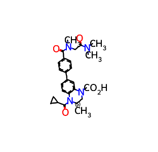 C[C@H]1CN(C(=O)O)c2cc(-c3ccc(C(=O)N(C)CC(=O)N(C)C)cc3)ccc2N1C(=O)C1CC1